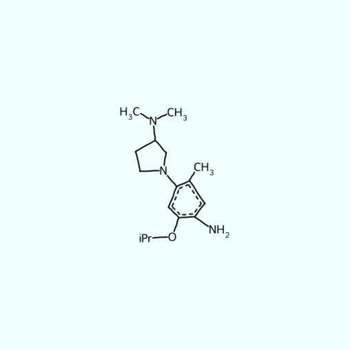 Cc1cc(N)c(OC(C)C)cc1N1CCC(N(C)C)C1